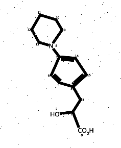 O=C(O)C(O)Cc1ccc(N2CCCCC2)cc1